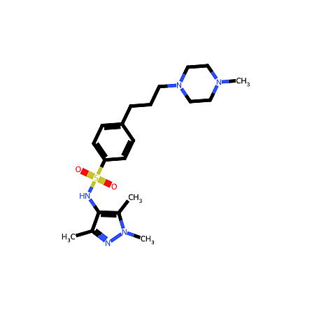 Cc1nn(C)c(C)c1NS(=O)(=O)c1ccc(CCCN2CCN(C)CC2)cc1